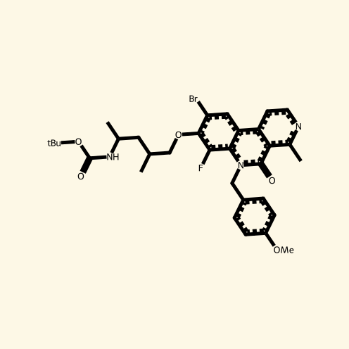 COc1ccc(Cn2c(=O)c3c(C)nccc3c3cc(Br)c(OCC(C)CC(C)NC(=O)OC(C)(C)C)c(F)c32)cc1